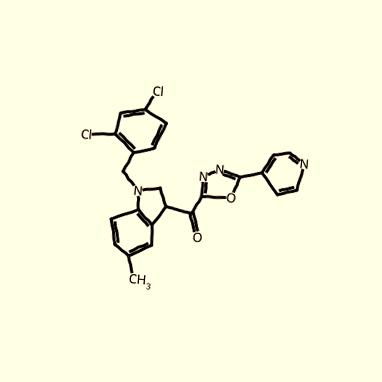 Cc1ccc2c(c1)C(C(=O)c1nnc(-c3ccncc3)o1)CN2Cc1ccc(Cl)cc1Cl